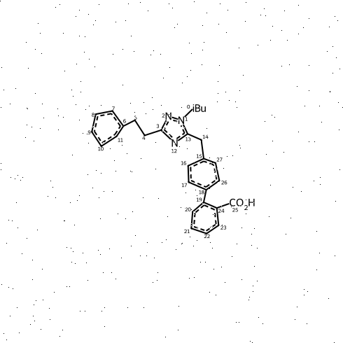 CCC(C)n1nc(CCc2ccccc2)nc1Cc1ccc(-c2ccccc2C(=O)O)cc1